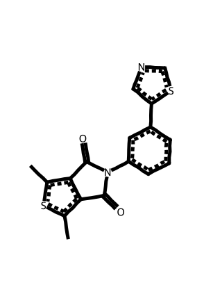 Cc1sc(C)c2c1C(=O)N(c1cccc(-c3cncs3)c1)C2=O